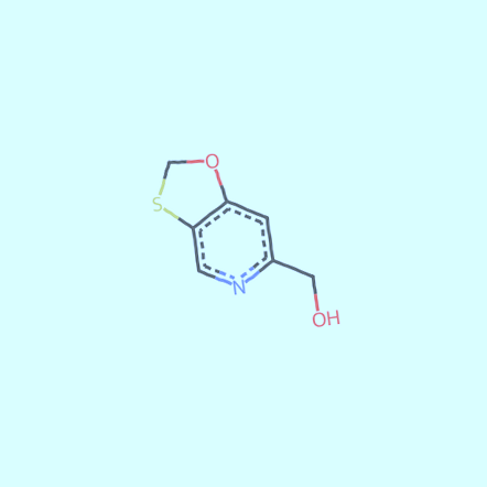 OCc1cc2c(cn1)SCO2